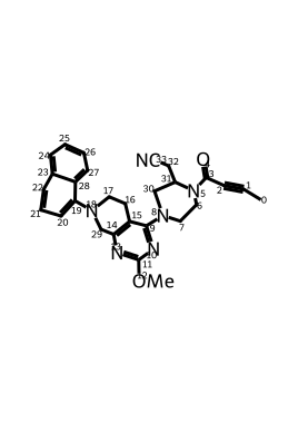 CC#CC(=O)N1CCN(c2nc(OC)nc3c2CCN(c2cccc4ccccc24)C3)CC1CC#N